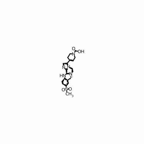 CS(=O)(=O)c1ccc(Nc2nccn3c(C4=CCN(C(=O)O)CC4)cnc23)c(F)c1